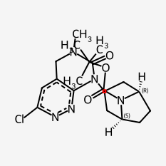 CN1Cc2cc(Cl)nnc2N(C2C[C@H]3CC[C@@H](C2)N3C(=O)OC(C)(C)C)C1=O